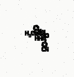 C[C@@H](Nc1cc(C(=O)NCc2ccc(C#N)cc2)ncn1)c1ccccc1